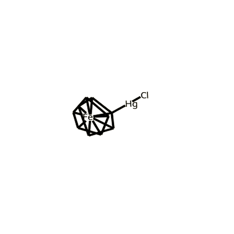 [Cl][Hg][C]12[CH]3[CH]4[CH]5[CH]1[Fe]45321678[CH]2[CH]1[CH]6[CH]7[CH]28